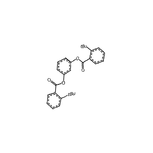 CC(C)(C)c1ccccc1C(=O)Oc1cccc(OC(=O)c2ccccc2C(C)(C)C)c1